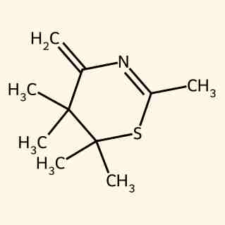 C=C1N=C(C)SC(C)(C)C1(C)C